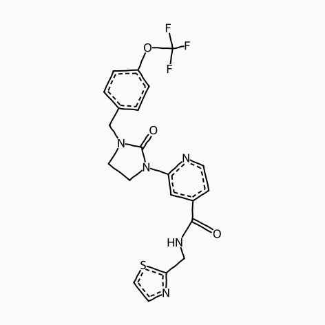 O=C(NCc1nccs1)c1ccnc(N2CCN(Cc3ccc(OC(F)(F)F)cc3)C2=O)c1